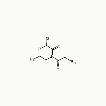 NCC(=O)N(CCS)C(=O)C(Cl)Cl